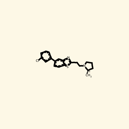 C[C@@H]1CCCN1CCc1nc2cc(-c3cccc(Cl)c3)ccc2s1